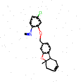 C=Nc1ccc(Cl)cc1OCc1ccc2c(c1)OC1(C)CC=CCC21